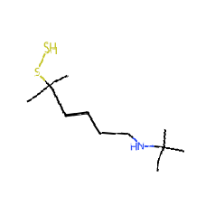 CC(C)(C)NCCCCC(C)(C)SS